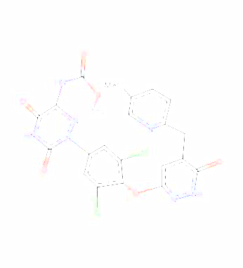 COc1ccc(Cc2cc(Oc3c(Cl)cc(-n4nc(NC(=O)OC(C)(C)C)c(=O)[nH]c4=O)cc3Cl)n[nH]c2=O)nc1